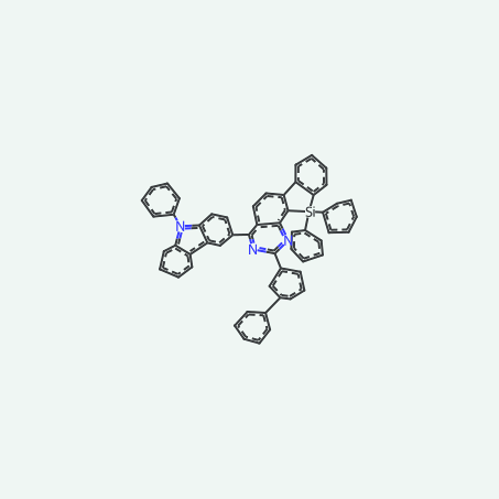 c1ccc(-c2cccc(-c3nc(-c4ccc5c(c4)c4ccccc4n5-c4ccccc4)c4ccc5c(c4n3)[Si](c3ccccc3)(c3ccccc3)c3ccccc3-5)c2)cc1